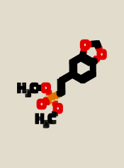 COP(=O)(/C=C/c1ccc2c(c1)OCO2)OC